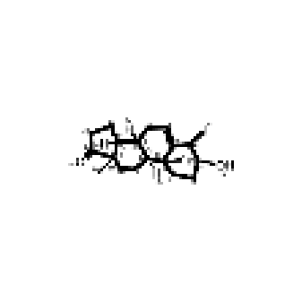 C[C@]12CC[C@H](O)C(I)C1=CC[C@@H]1[C@@H]2CC[C@]2(C)C(=O)CC[C@@H]12